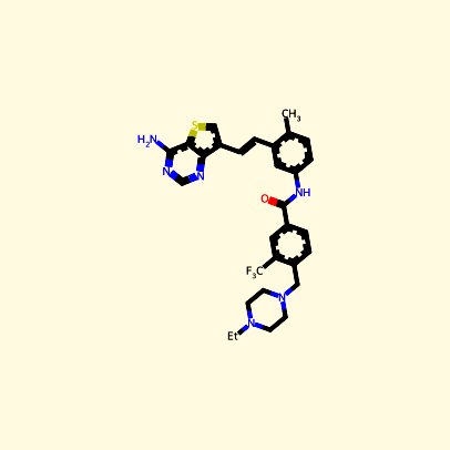 CCN1CCN(Cc2ccc(C(=O)Nc3ccc(C)c(/C=C/c4csc5c(N)ncnc45)c3)cc2C(F)(F)F)CC1